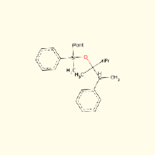 CCCC(C)[Si](C)(OC(C)(CCC)[SiH](C)c1ccccc1)c1ccccc1